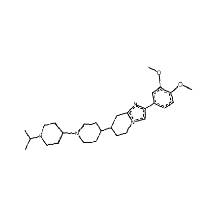 COc1ccc(-c2cn3c(n2)CC(C2CCN(C4CCN(C(C)C)CC4)CC2)CC3)cc1OC